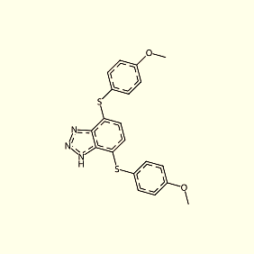 COc1ccc(Sc2ccc(Sc3ccc(OC)cc3)c3[nH]nnc23)cc1